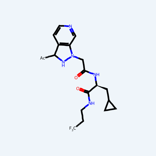 CC(=O)C1NN(CC(=O)N[C@@H](CC2CC2)C(=O)NCCC(F)(F)F)c2cnccc21